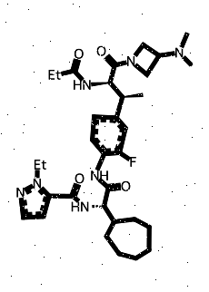 CCC(=O)N[C@@H](C(=O)N1CC(N(C)C)C1)[C@@H](C)c1ccc(NC(=O)[C@@H](NC(=O)c2ccnn2CC)C2CCCCCC2)c(F)c1